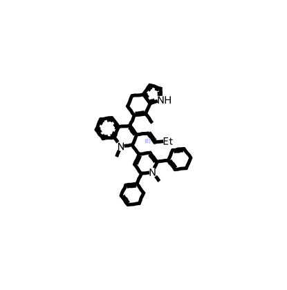 CC/C=C/C1=C(C2=C(C)c3[nH]ccc3CC2)c2ccccc2N(C)C1C1=CC(C2=CC=CCC2)N(C)C(C2=CCCC=C2)=C1